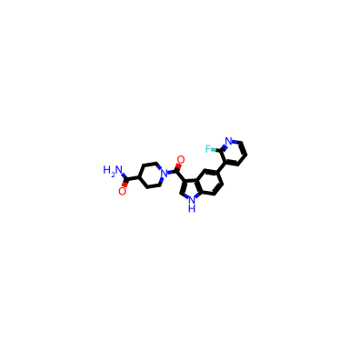 NC(=O)C1CCN(C(=O)c2c[nH]c3ccc(-c4cccnc4F)cc23)CC1